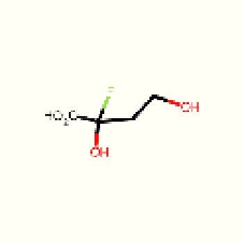 O=C(O)C(O)(F)CCO